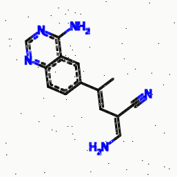 C/C(=C\C(C#N)=C/N)c1ccc2ncnc(N)c2c1